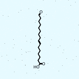 O=CCCCCCCCC=CCCCCCC(=O)O